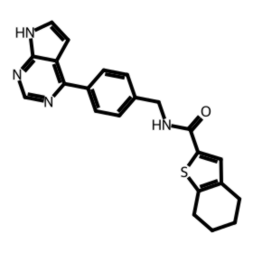 O=C(NCc1ccc(-c2ncnc3[nH]ccc23)cc1)c1cc2c(s1)CCCC2